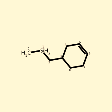 C[SiH2]CC1CC=CCC1